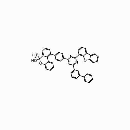 BC1(O)Oc2ccccc2-c2c(-c3ccc(-c4nc(-c5cccc(-c6ccccc6)c5)nc(-c5cccc6c5oc5ccccc56)n4)cc3)cccc21